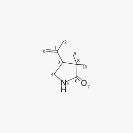 C=C(C)C1CNC(=O)C1(C)C